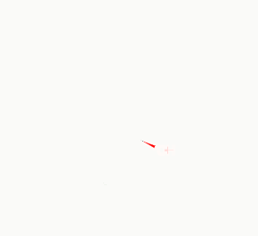 O[C@@H]1c2ccccc2C[C@H]1Br